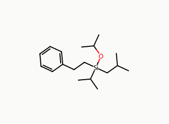 CC(C)C[Si](CCc1ccccc1)(OC(C)C)C(C)C